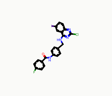 O=C(Nc1ccc(CNc2nc(Cl)nc3ccc(I)cc23)cc1)c1ccc(F)cc1